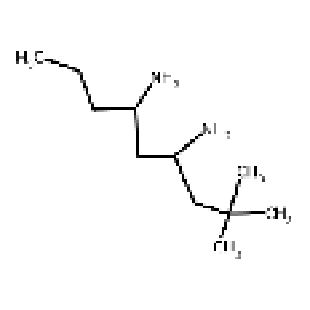 CCCC(N)CC(N)CC(C)(C)C